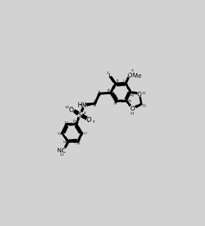 COc1c(I)c(CCNS(=O)(=O)c2ccc(C#N)cc2)cc2c1OCO2